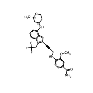 COc1cc(C(N)=O)ccc1NCC#Cc1cc2c(N[C@@H]3CCO[C@@H](C)C3)cccc2n1CC(F)(F)F